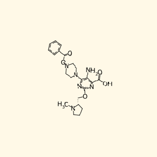 CN1CCC[C@H]1COc1nc(C(=O)O)c(N)c(N2CCN(OC(=O)c3ccccc3)CC2)n1